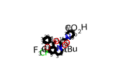 CC(C)(C)[C@@H]1CCc2cc(Cl)cc3c2N1C(=O)[C@@H](CC(=O)N1CCC[C@@H](C(=O)O)C1)O[C@@H]3c1ccccc1OC(F)(F)F